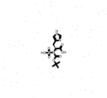 CC(C)(C)OC(=O)N([C@@H](Cc1c[nH]cn1)C(=O)O)S(=O)(=O)O